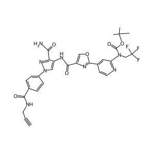 C#CCNC(=O)c1ccc(-n2cc(NC(=O)c3coc(-c4ccnc(N(CC(F)(F)F)C(=O)OC(C)(C)C)c4)n3)c(C(N)=O)n2)cc1